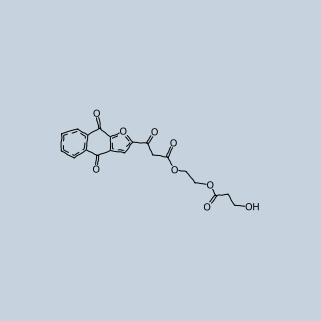 O=C(CCO)OCCOC(=O)CC(=O)c1cc2c(o1)C(=O)c1ccccc1C2=O